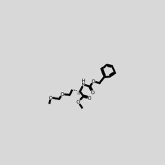 COCOCC[C@H](NC(=O)OCc1ccccc1)C(=O)OC